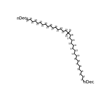 CCCCCCCCCCCCCCCCCCCCCCCCCCCCC(C)(C)CCCCCCCCCCCCCCCCCCCCCCCCCC